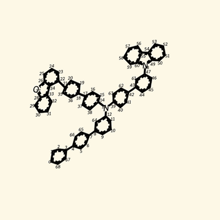 c1ccc(-c2ccc(-c3cccc(N(c4ccc(-c5ccc(-c6cccc7oc8ccccc8c67)cc5)cc4)c4ccc(-c5cccc(-n6c7ccccc7c7ccccc76)c5)cc4)c3)cc2)cc1